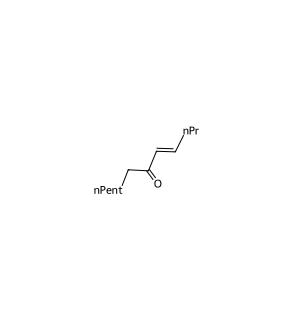 CCCC=CC(=O)CCCCCC